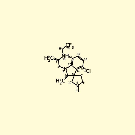 C=C(CN1C(=C)C2(CCNC2)c2c(Cl)cccc21)NCC(F)(F)F